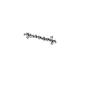 [NH]C(=O)COCCOCCOCCOCCOCCNC(=O)CI